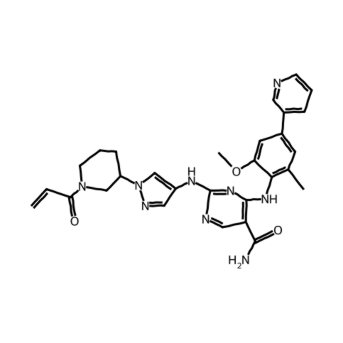 C=CC(=O)N1CCCC(n2cc(Nc3ncc(C(N)=O)c(Nc4c(C)cc(-c5cccnc5)cc4OC)n3)cn2)C1